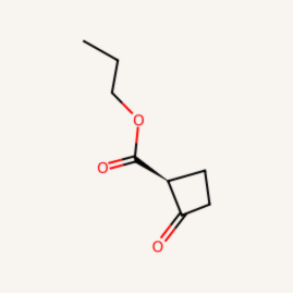 CCCOC(=O)[C@H]1CCC1=O